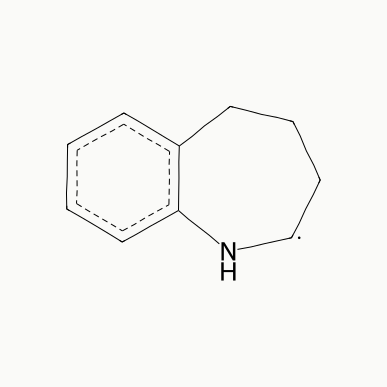 [CH]1CCCc2ccccc2N1